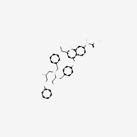 CCc1cc(Oc2ccc(C[C@@H](CO)N(Cc3ccccc3)C[C@H](O)COc3ccccc3)cc2)c2ccc(NC(=O)O)cc2n1